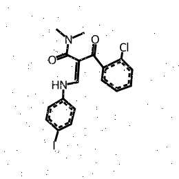 CN(C)C(=O)C(=CNc1ccc(I)cc1)C(=O)c1ccccc1Cl